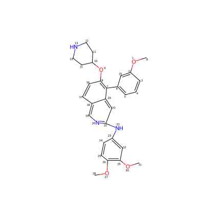 COc1cccc(-c2c(OC3CCNCC3)ccc3cnc(Nc4ccc(OC)c(OC)c4)cc23)c1